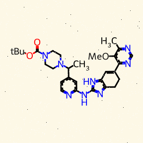 COc1c(C)ncnc1C1=Cc2[nH]c(Nc3cc(C(C)N4CCN(C(=O)OC(C)(C)C)CC4)ccn3)nc2CC1